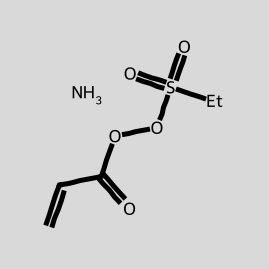 C=CC(=O)OOS(=O)(=O)CC.N